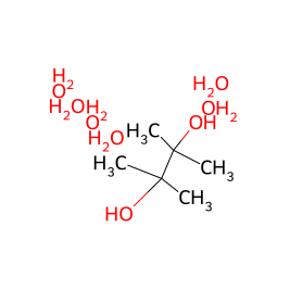 CC(C)(O)C(C)(C)O.O.O.O.O.O.O